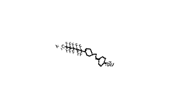 CCCCC1CCC(CCC2CCC(C(F)(F)C(F)(F)C(F)(F)C(F)(F)C(F)(F)C(F)(F)F)CC2)CC1